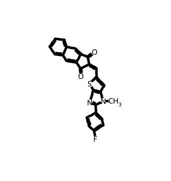 Cn1c(-c2ccc(F)cc2)nc2sc(C=C3C(=O)c4cc5ccccc5cc4C3=O)cc21